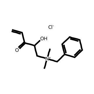 C=CC(=O)C(O)C[N+](C)(C)Cc1ccccc1.[Cl-]